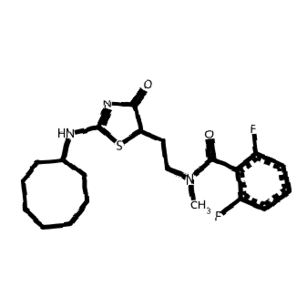 CN(CCC1SC(NC2CCCCCCC2)=NC1=O)C(=O)c1c(F)cccc1F